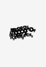 CN(C)c1cc(CN2CCC(F)CC2)c(O)c2c1C[C@H]1C[C@H]3[C@H](N(C)C)C(O)=C(C(N)=O)C4(O)O[C@]34C(O)=C1C2=O